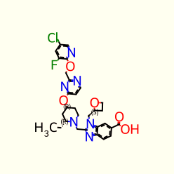 CC[C@@H]1C[C@H](Oc2ccnc(COc3ncc(Cl)cc3F)n2)CCN1Cc1nc2ccc(C(=O)O)cc2n1C[C@@H]1CCO1